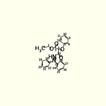 CCOC(=O)C(Oc1ccccc1)C(=O)NN(c1ccccc1)c1ccccc1